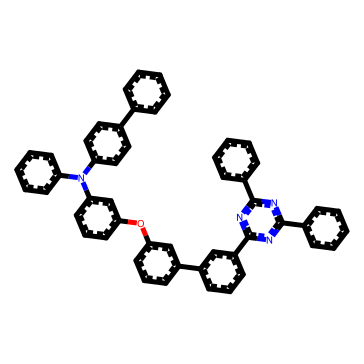 c1ccc(-c2ccc(N(c3ccccc3)c3cccc(Oc4cccc(-c5cccc(-c6nc(-c7ccccc7)nc(-c7ccccc7)n6)c5)c4)c3)cc2)cc1